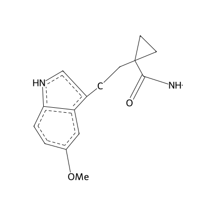 COc1ccc2[nH]cc(CCC3(C([NH])=O)CC3)c2c1